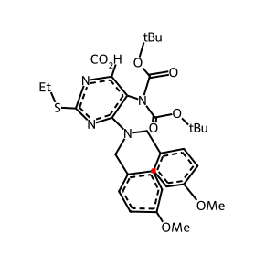 CCSc1nc(C(=O)O)c(N(C(=O)OC(C)(C)C)C(=O)OC(C)(C)C)c(N(Cc2ccc(OC)cc2)Cc2ccc(OC)cc2)n1